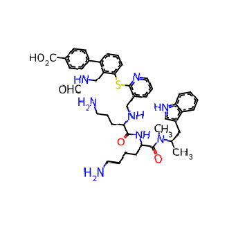 CC(Cc1c[nH]c2ccccc12)N(C)C(=O)C(CCCCN)NC(=O)C(CCCN)NCc1cccnc1Sc1cccc(-c2ccc(C(=O)O)cc2)c1CNC=O